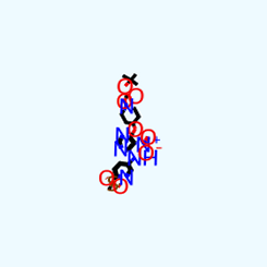 CC(C)(C)OC(=O)ON1CCC(Oc2ncnc(Nc3ccc(S(C)(=O)=O)nc3)c2[N+](=O)[O-])CC1